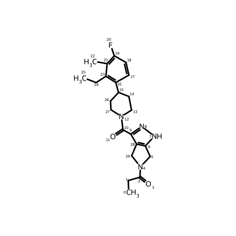 CCC(=O)N1Cc2[nH]nc(C(=O)N3CCC(c4ccc(F)c(C)c4CC)CC3)c2C1